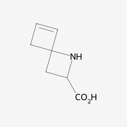 O=C(O)C1CC2(C=CC2)N1